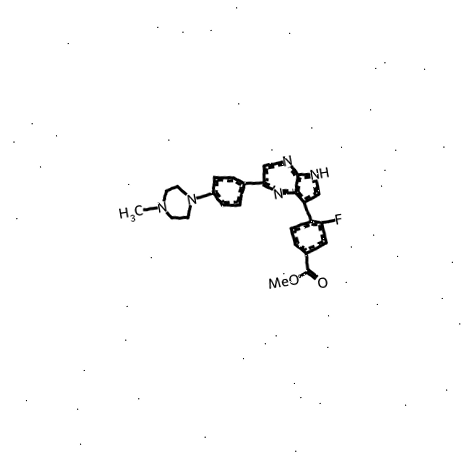 COC(=O)c1ccc(-c2c[nH]c3ncc(-c4ccc(N5CCN(C)CC5)cc4)nc23)c(F)c1